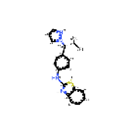 CCC(CC)[C@H](c1ccc(Nc2nc3ccccc3s2)cc1)n1cccn1